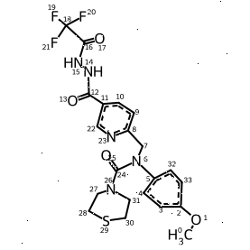 COc1ccc(N(Cc2ccc(C(=O)NNC(=O)C(F)(F)F)cn2)C(=O)N2CCSCC2)cc1